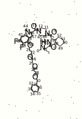 CNC(C)C(=O)NC(C(=O)N1CCN(C(=O)c2cc3c(OCCOCCOCCOCc4ccccc4)c(F)c(F)cc3n2C)CC1)C1CCCCC1